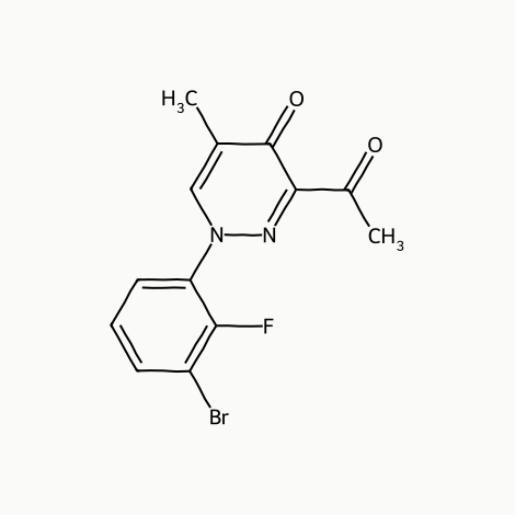 CC(=O)c1nn(-c2cccc(Br)c2F)cc(C)c1=O